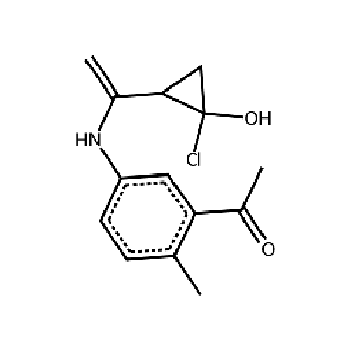 C=C(Nc1ccc(C)c(C(C)=O)c1)C1CC1(O)Cl